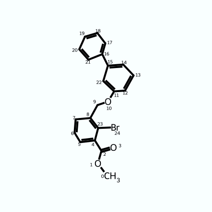 COC(=O)c1cccc(COc2cccc(-c3ccccc3)c2)c1Br